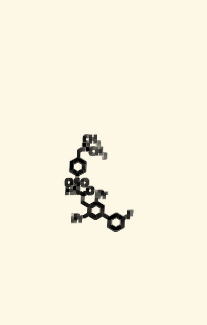 CC(C)c1cc(-c2cccc(F)c2)cc(C(C)C)c1CC(=O)NS(=O)(=O)c1ccc(CN(C)C)cc1